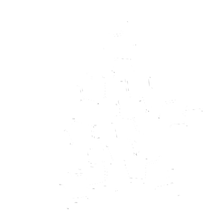 Cc1ccc2c(c1)c1cc3c4cc(C)ccc4n4c3c3c1n2-c1ccccc1B3c1cc2c(cc1-4)-n1c3ccc(C)cc3c3cc4c5cc(C)ccc5n5c4c(c31)B2c1ccccc1-5